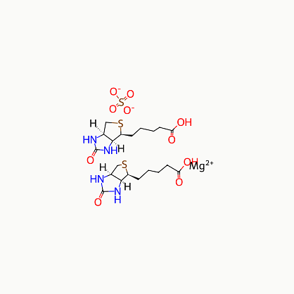 O=C(O)CCCC[C@@H]1SC[C@@H]2NC(=O)N[C@@H]21.O=C(O)CCCC[C@@H]1SC[C@@H]2NC(=O)N[C@@H]21.O=S(=O)([O-])[O-].[Mg+2]